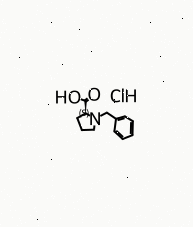 Cl.O=C(O)[C@@H]1CCCN1Cc1ccccc1